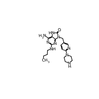 CCCCNc1nc(N)c2[nH]c(=O)n(Cc3ccc(N4CCNCC4)nc3)c2n1